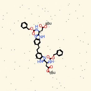 CC(C)(C)OC(=O)C[C@H](NC(=O)OCc1ccccc1)c1nc2cc(CCc3ccc4nc([C@H](CC(=O)OC(C)(C)C)NC(=O)OCc5ccccc5)[nH]c4c3)ccc2[nH]1